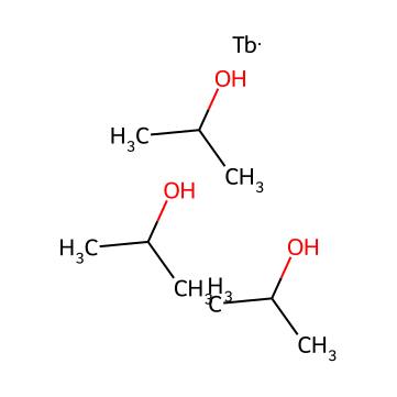 CC(C)O.CC(C)O.CC(C)O.[Tb]